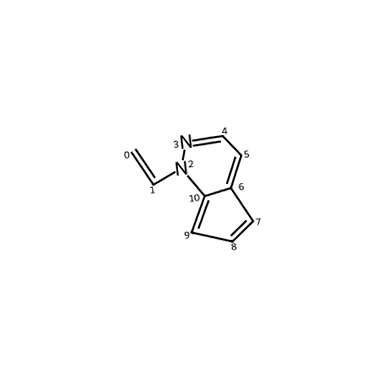 C=Cn1nccc2cccc1-2